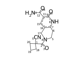 N#CC1(C(=O)N2CCc3[nH]c(=O)c(C(N)=O)cc3C2)CCC1